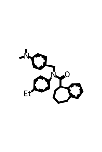 CCc1ccc(N(Cc2ccc(N(C)C)cc2)C(=O)C2CCCCc3ccccc32)cc1